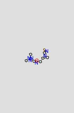 c1ccc(-c2nc(-c3ccccc3)nc(-c3ccc4nc(-c5cccc(-c6ccc7c(c6)c6ccccc6n7-c6ccc7scnc7c6)c5)oc4c3)n2)cc1